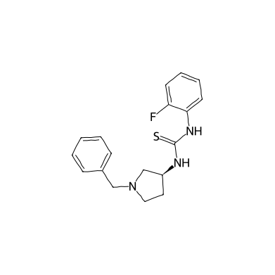 Fc1ccccc1NC(=S)N[C@H]1CCN(Cc2ccccc2)C1